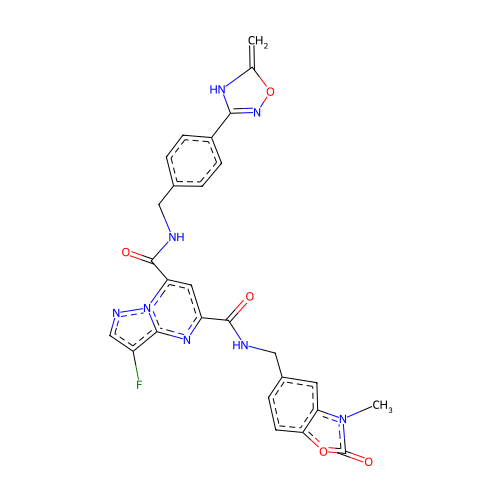 C=C1NC(c2ccc(CNC(=O)c3cc(C(=O)NCc4ccc5oc(=O)n(C)c5c4)nc4c(F)cnn34)cc2)=NO1